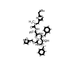 CCC(C)Cc1nc(CN(C)C(=O)N[C@H](C(=O)N[C@@H](Cc2ccccc2)C[C@H](O)[C@H](Cc2ccccc2)NC(=O)OCc2ccno2)C(C)C)cs1